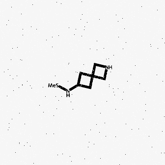 CSNC1CC2(CNC2)C1